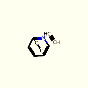 C#C.c1cc2ncc1CC2